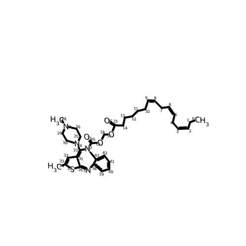 CC/C=C\C/C=C\C/C=C\CCCCCC(=O)OCOC(=O)N1C(N2CCN(C)CC2)=c2cc(C)sc2=Nc2ccccc21